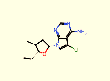 CC[C@H]1O[C@@H](n2cc(Cl)c3c(N)ncnc32)C[C@@H]1C